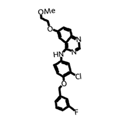 COCCOc1ccc2ncnc(Nc3ccc(OCc4cccc(F)c4)c(Cl)c3)c2c1